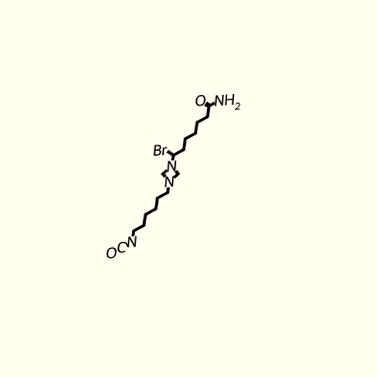 NC(=O)CCCCCC(Br)N1CN(CCCCCCN=C=O)C1